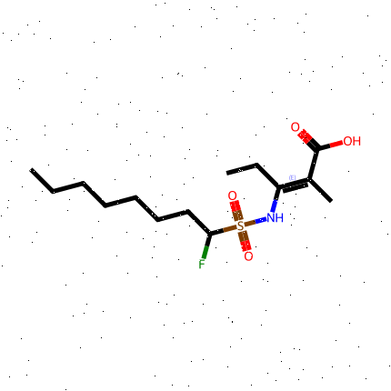 CCCCCCCC(F)S(=O)(=O)N/C(CC)=C(\C)C(=O)O